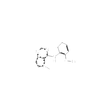 CC(C)OC1=C(Nc2ncnc3ccn(C)c23)CCC=C1